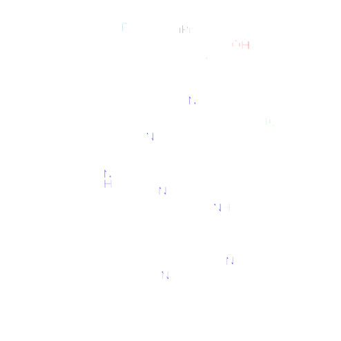 CC(Nc1nc(Nc2cnccn2)cc(N2CC(O)(C(C)C)C2)n1)c1ccc(F)cc1.Cl